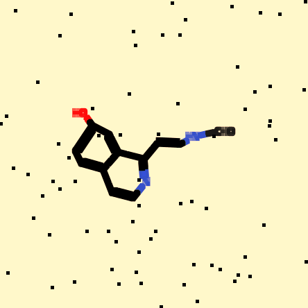 O=CNC=Cc1nccc2ccc(O)cc12